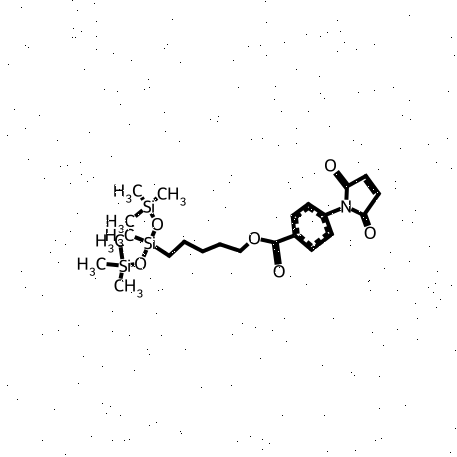 C[Si](C)(C)O[Si](C)(CCCCCOC(=O)c1ccc(N2C(=O)C=CC2=O)cc1)O[Si](C)(C)C